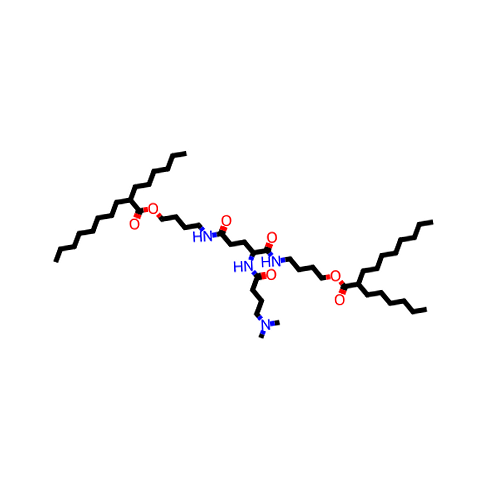 CCCCCCCCC(CCCCCC)C(=O)OCCCCNC(=O)CCC(NC(=O)CCCN(C)C)C(=O)NCCCCOC(=O)C(CCCCCC)CCCCCCCC